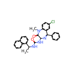 CC(NC(=O)NC1N=C(c2ccccc2)c2cc(Cl)ccc2N(C)C1=O)c1cccc2ccccc12